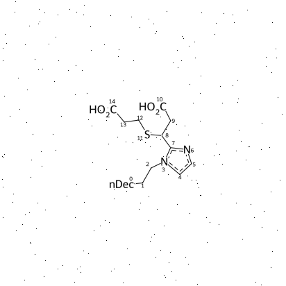 CCCCCCCCCCCCn1ccnc1C(CC(=O)O)SCCC(=O)O